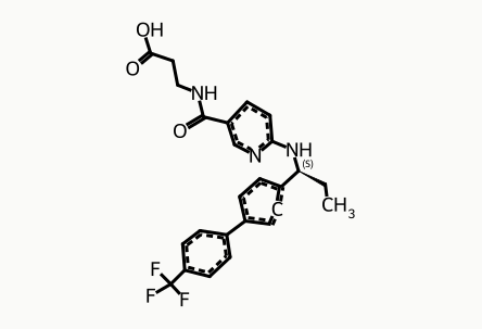 CC[C@H](Nc1ccc(C(=O)NCCC(=O)O)cn1)c1ccc(-c2ccc(C(F)(F)F)cc2)cc1